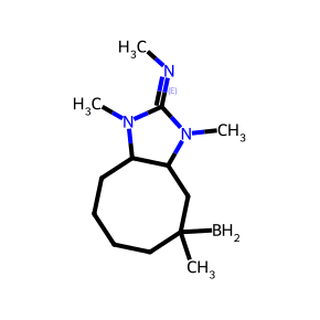 BC1(C)CCCCC2C(C1)N(C)/C(=N/C)N2C